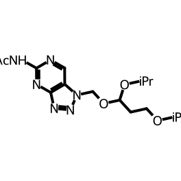 CC(=O)Nc1ncc2c(nnn2COC(CCOC(C)C)OC(C)C)n1